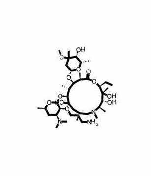 CC[C@@H]1OC(=O)[C@H](C)[C@H](O[C@@H]2CC(C)(OC)[C@H](O)[C@H](C)O2)[C@@H](C)[C@H](O[C@@H]2O[C@H](C)C[C@H](N(C)C)[C@@H]2OCCCN)[C@](C)(O)C[C@H](C)CN(C)[C@H](C)[C@@H](O)[C@@]1(C)O